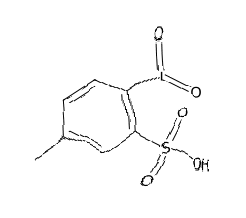 Cc1ccc(I(=O)=O)c(S(=O)(=O)O)c1